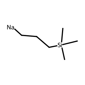 C[Si](C)(C)CC[CH2][Na]